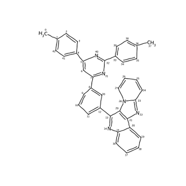 Cc1ccc(-c2cc(-c3cccc(-c4nc5ccccc5c5nc6ccccn6c45)c3)nc(-c3ccc(C)cc3)n2)cc1